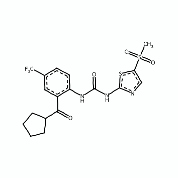 CS(=O)(=O)c1cnc(NC(=O)Nc2ccc(C(F)(F)F)cc2C(=O)C2CCCC2)s1